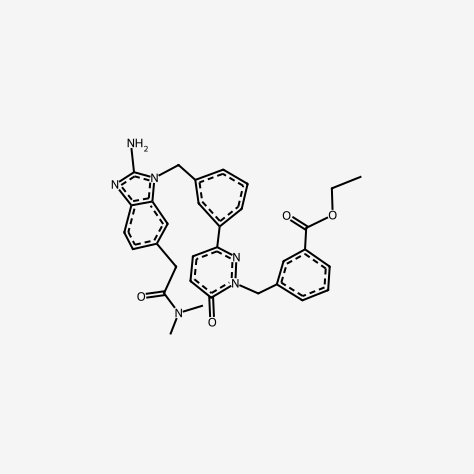 CCOC(=O)c1cccc(Cn2nc(-c3cccc(Cn4c(N)nc5ccc(CC(=O)N(C)C)cc54)c3)ccc2=O)c1